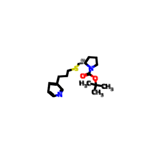 CC(C)(C)OC(=O)N1CCC[C@H]1CSCCCc1cccnc1